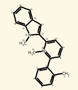 Cc1ccccc1-c1cccc(-c2cc3ccccc3n2C)[n+]1C